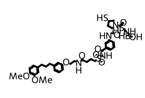 COc1ccc(CCCc2cccc(OCCNC(=O)CCCS(=O)(=O)NC(=O)c3cccc(NC(=O)[C@@H]4C[C@H](S)CN4C(=O)PNBO)c3)c2)cc1OC